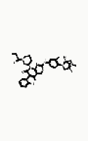 CCC(=O)N1CCC[C@H](n2c(=O)c(-c3ccccc3Cl)c(C)c3cnc(Nc4ccc(N5C[C@@H]6C[C@H]5CN6C)c(C)c4)nc32)C1